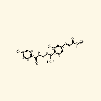 Cl.O=C(C=Cc1cnc(NCCNC(=O)c2ccc(Cl)cc2)c(Cl)c1)NO